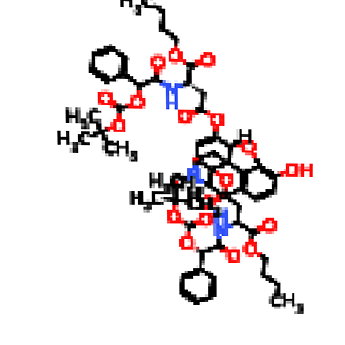 CCCCOC(=O)[C@H](CC(=O)OC1=CC[C@@]2(OC(=O)C[C@H](NC(=O)[C@@H](OC(=O)OC(C)(C)C)c3ccccc3)C(=O)OCCCC)[C@H]3Cc4ccc(O)c5c4[C@@]2(CCN3C)[C@H]1O5)NC(=O)[C@@H](OC(=O)OC(C)(C)C)c1ccccc1